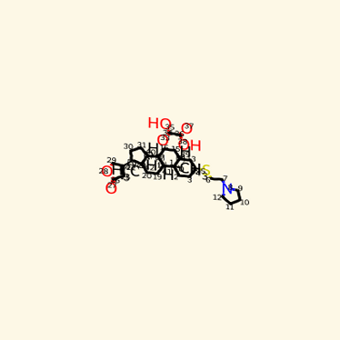 C[C@]12CC[C@H](SCCN3CCCC3)C[C@H]1CC[C@@H]1[C@@H]2CC[C@]2(C)[C@@H](C3=CC(=O)OC3)CC[C@@H]12.O=C(O)C(=O)O